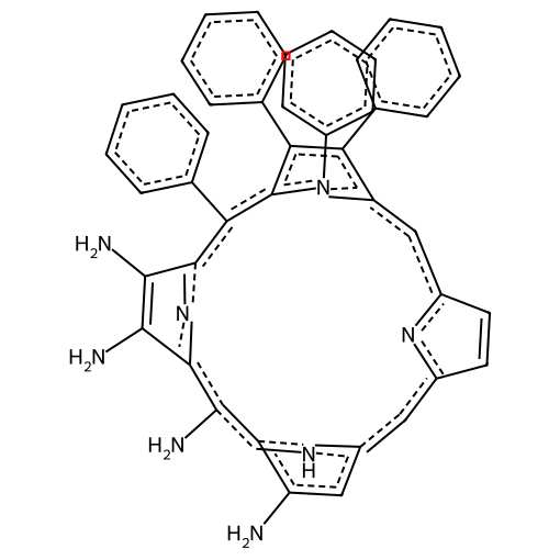 NC1=C(N)c2nc1c(N)c1[nH]c(cc3nc(cc4c(-c5ccccc5)c(-c5ccccc5)c(c2-c2ccccc2)n4-c2ccccc2)C=C3)cc1N